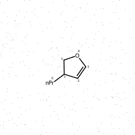 CCCC1C=COC1